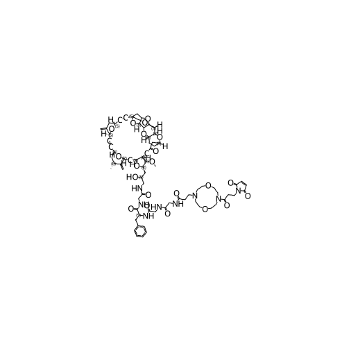 C=C1C[C@@H]2CC[C@@]34CC5OC6C(O[C@H]7CC[C@H](CC(=O)C[C@@H]8[C@@H](OC)[C@@H](C[C@H](O)CNC(=O)CNC(=O)[C@H](Cc9ccccc9)NC(=O)CNC(=O)CNC(=O)CCN9CCOCCN(C(=O)CCN%10C(=O)C=CC%10=O)CCOCC9)O[C@H]8C[C@H]8O[C@@H](CC[C@@H]1O2)C[C@@H](C)C8=C)O[C@@H]7[C@@H]6O3)[C@H]5O4